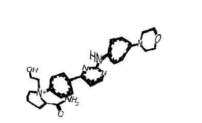 NC(=O)[C@H]1CCC[N+]1(CCO)c1ccc(-c2ccnc(Nc3ccc(N4CCOCC4)cc3)n2)cc1